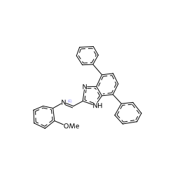 COc1ccccc1/N=C/c1nc2c(-c3ccccc3)ccc(-c3ccccc3)c2[nH]1